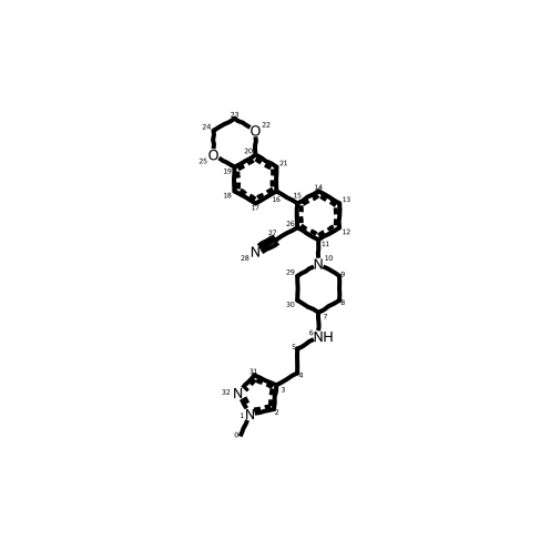 Cn1cc(CCNC2CCN(c3cccc(-c4ccc5c(c4)OCCO5)c3C#N)CC2)cn1